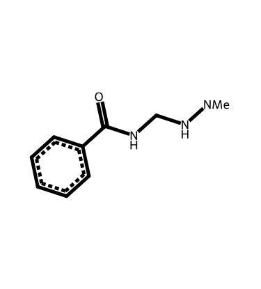 CNNCNC(=O)c1ccccc1